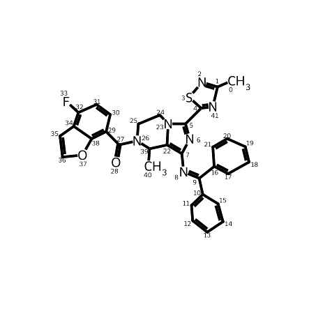 Cc1nsc(-c2nc(N=C(c3ccccc3)c3ccccc3)c3n2CCN(C(=O)c2ccc(F)c4ccoc24)C3C)n1